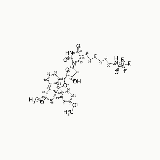 COc1ccc(C(OC[C@H]2O[C@@H](n3cc(CCCCCCNC(=O)C(F)(F)F)c(=O)[nH]c3=O)C[C@@H]2O)(c2ccccc2)c2ccc(OC)cc2)cc1